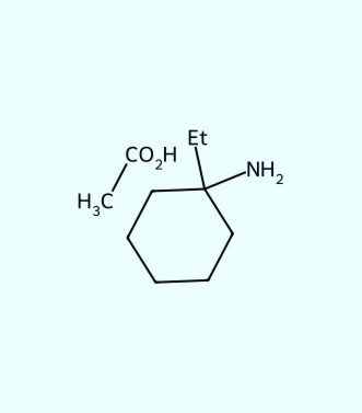 CC(=O)O.CCC1(N)CCCCC1